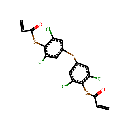 C=CC(=O)Sc1c(Cl)cc(Sc2cc(Cl)c(SC(=O)C=C)c(Cl)c2)cc1Cl